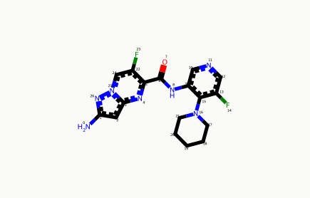 Nc1cc2nc(C(=O)Nc3cncc(F)c3N3CCCCC3)c(F)cn2n1